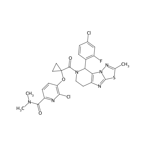 Cc1nn2c3c(nc2s1)CCN(C(=O)C1(Oc2ccc(C(=O)N(C)C)nc2Cl)CC1)C3c1ccc(Cl)cc1F